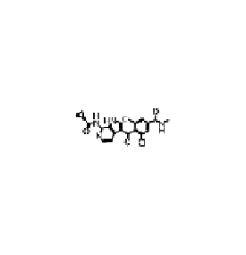 CNC(=O)c1cc(Cl)c(C(=O)c2c[nH]c3c(NC(=O)C4CC4)nccc23)c(Cl)c1